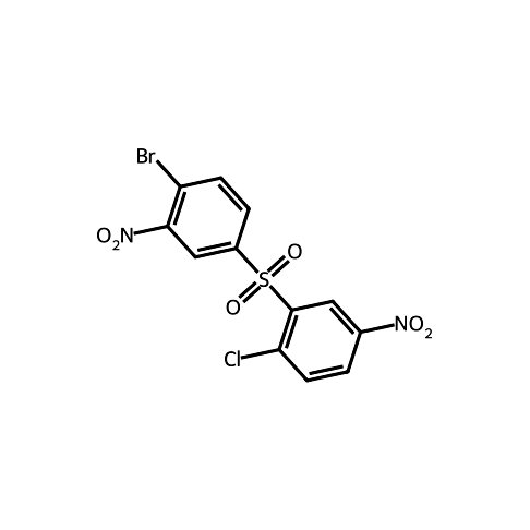 O=[N+]([O-])c1ccc(Cl)c(S(=O)(=O)c2ccc(Br)c([N+](=O)[O-])c2)c1